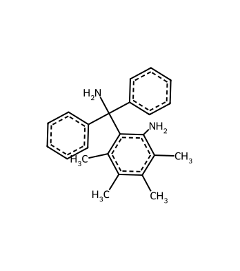 Cc1c(C)c(C)c(C(N)(c2ccccc2)c2ccccc2)c(N)c1C